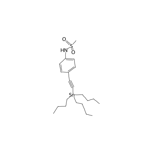 CCC[CH2][Sn]([C]#Cc1ccc(NS(C)(=O)=O)cc1)([CH2]CCC)[CH2]CCC